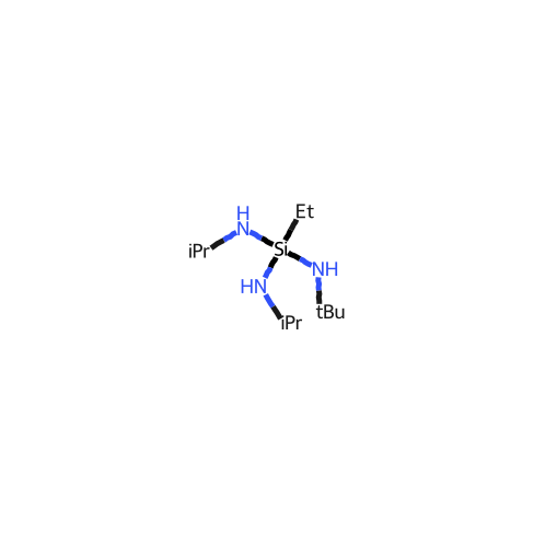 CC[Si](NC(C)C)(NC(C)C)NC(C)(C)C